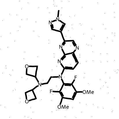 COc1cc(OC)c(F)c(N(CCN(C2COC2)C2COC2)c2ccc3ncc(-c4cnn(C)c4)nc3n2)c1F